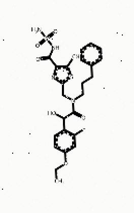 CCOc1ccc(C(O)C(=O)N(CCCc2ccccc2)Cc2nc(C(=O)NS(N)(=O)=O)c(C)s2)c(F)c1